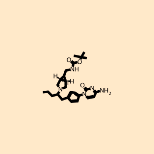 CCCC(Cc1ccc(-n2ccc(N)nc2=O)cc1)N1C[C@@H]2C(CNC(=O)OC(C)(C)C)[C@@H]2C1